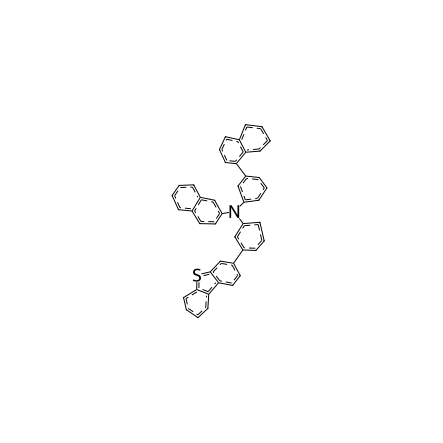 c1cc(-c2ccc3c(c2)sc2ccccc23)cc(N(c2cccc(-c3cccc4ccccc34)c2)c2ccc3ccccc3c2)c1